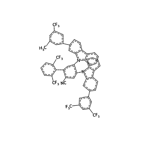 Cc1cc(-c2ccc3c4ccccc4n(-c4cc(-c5c(C(F)(F)F)cccc5C(F)(F)F)c(C#N)cc4-n4c5ccccc5c5ccc(-c6cc(C(F)(F)F)cc(C(F)(F)F)c6)cc54)c3c2)cc(C(F)(F)F)c1